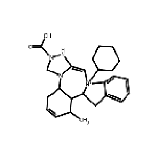 CC1C=CCC2C1C1Cc3ccccc3[N+]1(C1CCCCC1)C=C1NN(C(=O)O)CN12